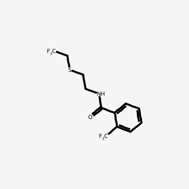 O=C(NCCSCC(F)(F)F)c1ccccc1C(F)(F)F